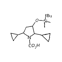 CC(C)(C)[Si](C)(C)OC1CC(C2CC2)N(C(=O)O)C1C1CC1